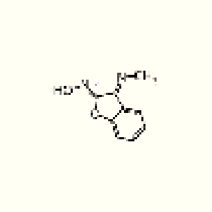 CN=C1/C(=N/O)Oc2ccccc21